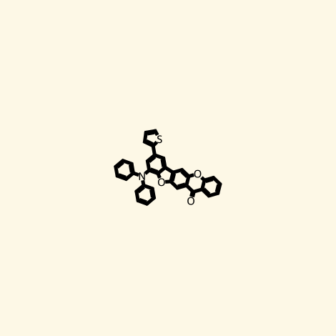 O=c1c2ccccc2oc2cc3c(cc12)oc1c(N(c2ccccc2)c2ccccc2)cc(-c2cccs2)cc13